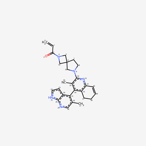 C=CC(=O)N1CC2(CCN(c3nc4c(c(-c5c(C)cnc6[nH]ccc56)c3C#N)CCC=C4)C2)C1